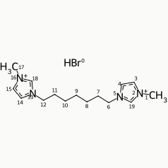 Br.C[n+]1ccn(CCCCCCCn2cc[n+](C)c2)c1